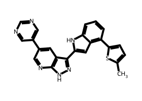 Cc1ccc(-c2cccc3[nH]c(-c4n[nH]c5ncc(-c6cncnc6)cc45)cc23)s1